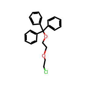 ClCCOCCOC(c1ccccc1)(c1ccccc1)c1ccccc1